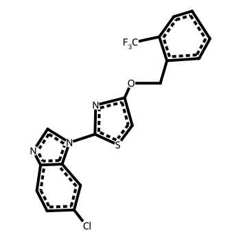 FC(F)(F)c1ccccc1COc1csc(-n2cnc3ccc(Cl)cc32)n1